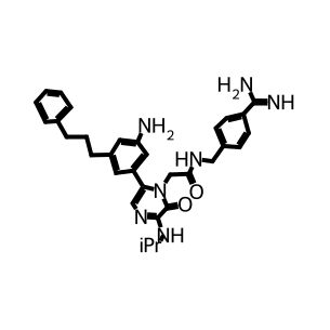 CC(C)Nc1ncc(-c2cc(N)cc(CCCc3ccccc3)c2)n(CC(=O)NCc2ccc(C(=N)N)cc2)c1=O